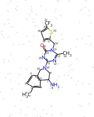 Cc1ccc2c(c1)C(N)CN(c1nc(C)n(Cc3ccc(C(F)(F)F)s3)c(=O)n1)C2